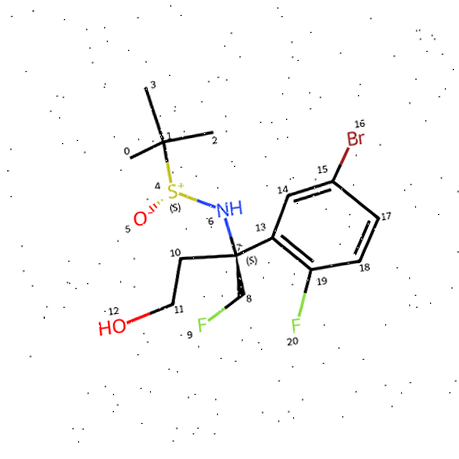 CC(C)(C)[S@@+]([O-])N[C@@](CF)(CCO)c1cc(Br)ccc1F